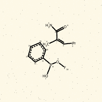 CC(=CC(C)C)C(N)=O.OB(OF)c1ccccc1